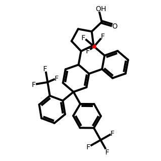 O=C(O)C1CCC(C2C=CC(c3ccc(C(F)(F)F)cc3)(c3ccccc3C(F)(F)F)C=C2c2ccccc2C(F)(F)F)C1